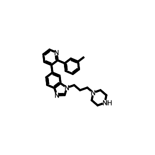 Cc1cccc(-c2ncccc2-c2ccc3ncn(CCCN4CCNCC4)c3c2)c1